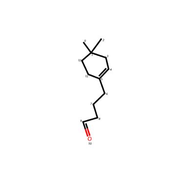 CC1(C)CC=C(CCCC=O)CC1